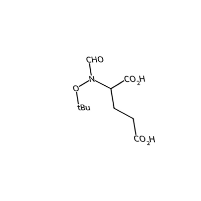 CC(C)(C)ON(C=O)C(CCC(=O)O)C(=O)O